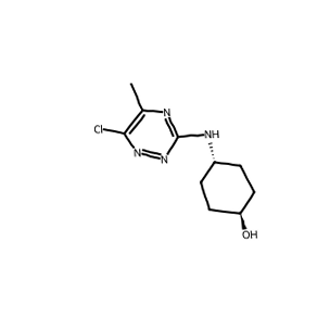 Cc1nc(N[C@H]2CC[C@H](O)CC2)nnc1Cl